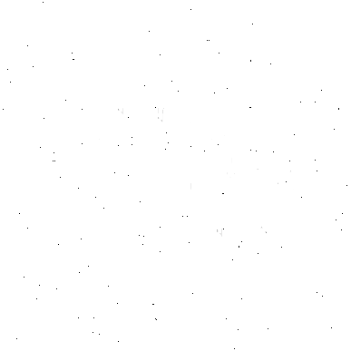 Fc1cc(NC2=NC[C@@]3(CCOC3)CO2)cc(F)c1Oc1ccnc2[nH]cc(C3(C(F)(F)F)CC3)c12